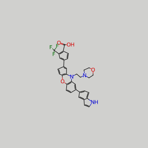 O=C(O)c1ccc(-c2ccc3c(c2)N(CCN2CCOCC2)c2cc(-c4ccc5[nH]ccc5c4)ccc2O3)cc1C(F)(F)F